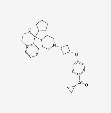 [O-][S+](c1ccc(O[C@H]2C[C@@H](N3CCC(C4(C5CCCC5)NCCc5ccccc54)CC3)C2)cc1)C1CC1